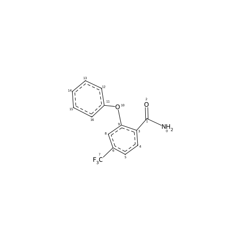 NC(=O)c1ccc(C(F)(F)F)cc1Oc1ccccc1